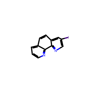 Ic1cnc2c(ccc3cccnc32)c1